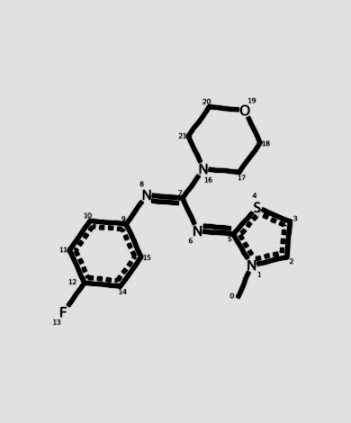 Cn1ccsc1=NC(=Nc1ccc(F)cc1)N1CCOCC1